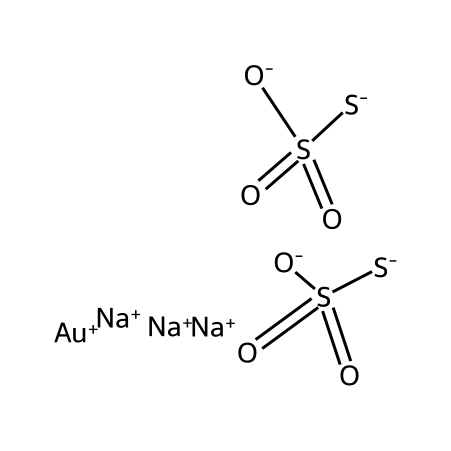 O=S(=O)([O-])[S-].O=S(=O)([O-])[S-].[Au+].[Na+].[Na+].[Na+]